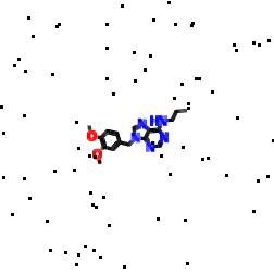 CCCNc1ncnc2c1ncn2Cc1ccc(OC)c(OC)c1